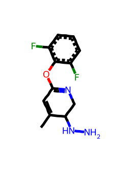 CC1=CC(Oc2c(F)cccc2F)=NCC1NN